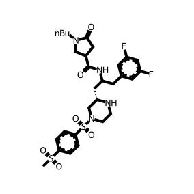 CCCCN1CC(C(=O)NC(Cc2cc(F)cc(F)c2)C[C@H]2CN(S(=O)(=O)c3ccc(S(C)(=O)=O)cc3)CCN2)CC1=O